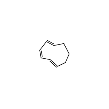 [CH]1/C=C/C=C\C=C\CC1